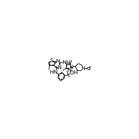 Cc1nn(C2CCN(C3CC3)CC2)c(C)c1Nc1nc(Nc2cccc(C(C)(C)O)c2)c2c(C)csc2n1